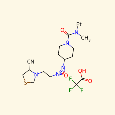 CCN(C)C(=O)N1CCC(n2on2CCN2CSCC2C#N)CC1.O=C(O)C(F)(F)F